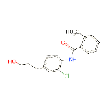 O=C(O)c1ccccc1C(=O)Nc1ccc(CCCO)cc1Cl